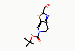 CC(C)(C)OC(=O)N1C=C2SC(CO)N=C2CC1